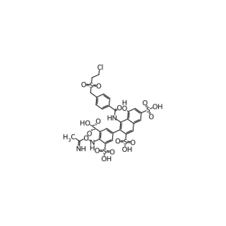 CC(=N)ONc1c(S(=O)(=O)O)cc(-c2c(S(=O)(=O)O)cc3cc(S(=O)(=O)O)cc(O)c3c2NC(=O)c2ccc(CS(=O)(=O)CCCl)cc2)cc1S(=O)(=O)O